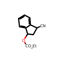 CCOC(=O)OC1CC(C#N)c2ccccc21